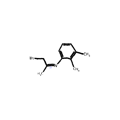 C/C(CC(C)C)=N/c1cccc(C)c1C